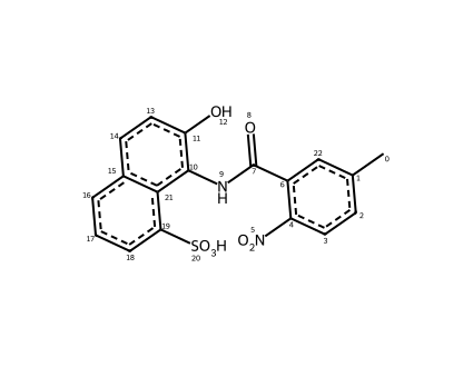 Cc1ccc([N+](=O)[O-])c(C(=O)Nc2c(O)ccc3cccc(S(=O)(=O)O)c23)c1